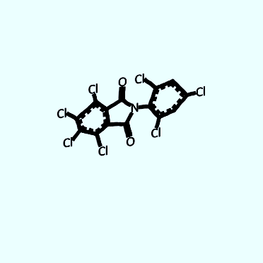 O=C1c2c(Cl)c(Cl)c(Cl)c(Cl)c2C(=O)N1c1c(Cl)cc(Cl)cc1Cl